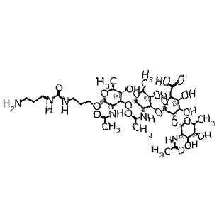 CC(=O)N[C@H]1C(O)[C@H](O)C(C)O[C@H]1O[C@H]1C(O)[C@H](O)C(C(=O)O)O[C@H]1OC1[C@H](O)C(C)O[C@@H](OC2[C@@H](O)C(C)O[C@@H](OCCCNC(=O)NCCCN)[C@H]2NC(C)=O)[C@H]1NC(C)=O